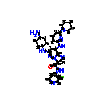 NC1CCC(Nc2cc(Nc3cccc(N4CCCCC4)n3)c3ncc(C(=O)Nc4ccncc4F)n3n2)CC1